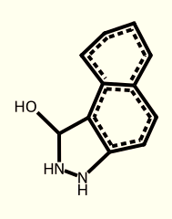 OC1NNc2ccc3ccccc3c21